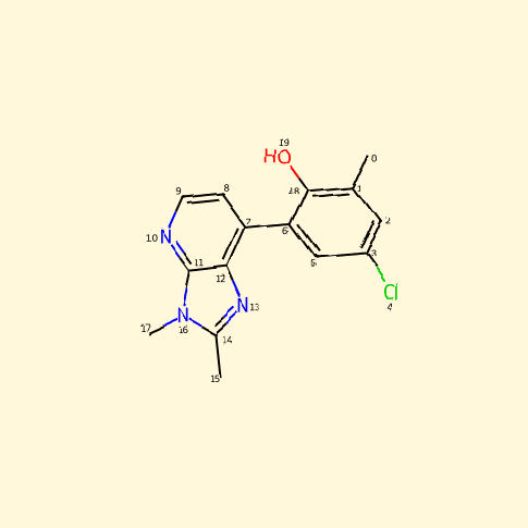 Cc1cc(Cl)cc(-c2ccnc3c2nc(C)n3C)c1O